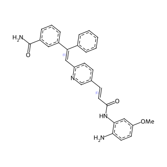 COc1ccc(N)c(NC(=O)/C=C/c2ccc(/C=C(\c3ccccc3)c3cccc(C(N)=O)c3)nc2)c1